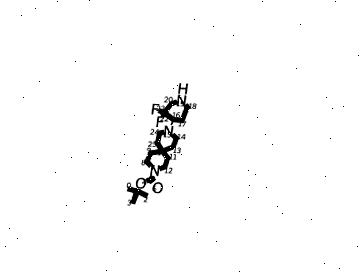 CC(C)(C)OC(=O)N1CCC2(CC1)CCN([C@H]1CCNCC1(F)F)CC2